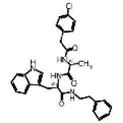 C[C@H](NC(=O)Cc1ccc(Cl)cc1)C(=O)N[C@H](Cc1c[nH]c2ccccc12)C(=O)NCCc1ccccc1